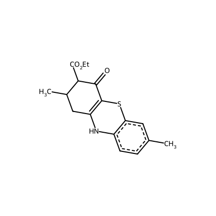 CCOC(=O)C1C(=O)C2=C(CC1C)Nc1ccc(C)cc1S2